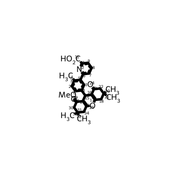 COc1cc(C)c(-c2cccc(C(=O)O)n2)cc1C1C2=C(CC(C)(C)CC2=O)OC2=C1C(=O)CC(C)(C)C2